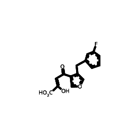 O=C(O)/C(O)=C/C(=O)c1cocc1Cc1cccc(F)c1